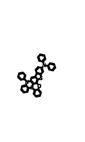 c1ccc(N(c2ccccc2)c2ccc3c(c2)sc2c4c5c(cc23)N(c2ccccc2)c2ccccc2B5c2ccccc2O4)cc1